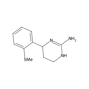 CSc1ccccc1C1CCNC(N)=N1